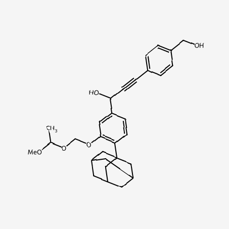 COC(C)OCOc1cc(C(O)C#Cc2ccc(CO)cc2)ccc1C12CC3CC(CC(C3)C1)C2